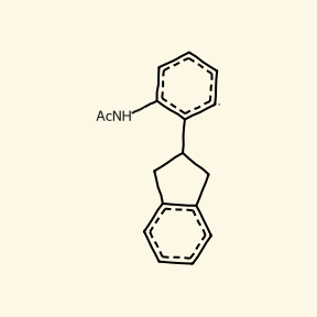 CC(=O)Nc1ccc[c]c1C1Cc2ccccc2C1